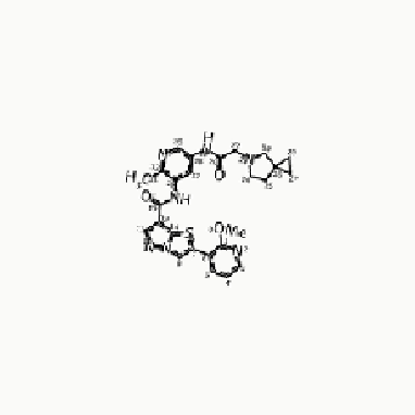 COc1ncccc1-c1cn2ncc(C(=O)Nc3cc(NC(=O)CN4CCC5(CC5)C4)cnc3C)c2s1